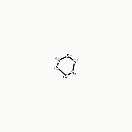 S1SSSSS1